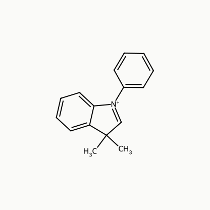 CC1(C)C=[N+](c2ccccc2)c2ccccc21